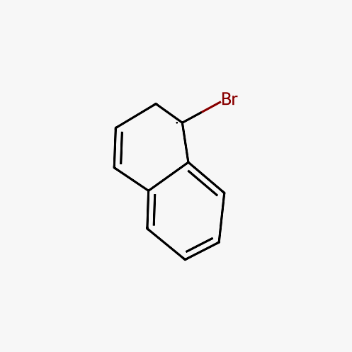 Br[C]1CC=Cc2ccccc21